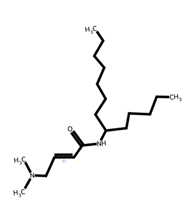 CCCCCCCC(CCCCC)NC(=O)/C=C/CN(C)C